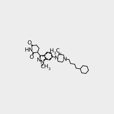 C[C@@H]1CN(CCCCC2CCCCC2)CCN1c1ccc2c(C3CCC(=O)NC3=O)nn(C)c2c1